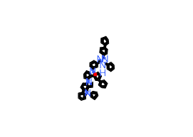 c1ccc(C2=NC(c3ccc(-c4ccccc4)cc3)=NC(c3cccc(-n4c5ccc(-c6ccccc6)cc5c5c(-n6ccc7c6ccc6c8ccccc8n(-c8ccccc8)c67)cccc54)c3)N2)cc1